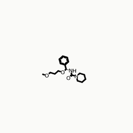 COCCCO[C@@H](NC(=O)N1CCCCC1)c1ccccc1